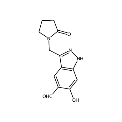 O=Cc1cc2c(CN3CCCC3=O)n[nH]c2cc1O